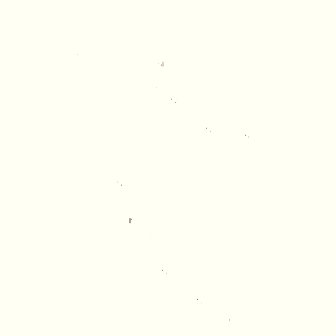 CN1CCN(CC(=O)Nc2cc(COc3cccnc3N3CCN(C(=O)Nc4cccc(C(F)(F)F)c4)CC3)ccn2)CC1